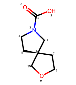 O=C(O)N1CC[C@]2(CCOC2)C1